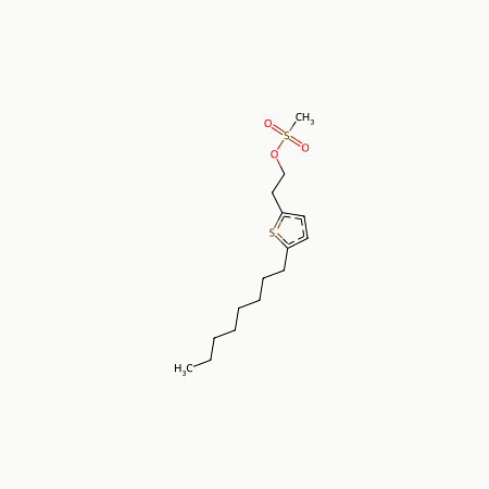 CCCCCCCCc1ccc(CCOS(C)(=O)=O)s1